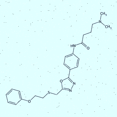 CN(C)CCCC(=O)Nc1ccc(-c2nnc(CSCCOc3ccccc3)o2)cc1